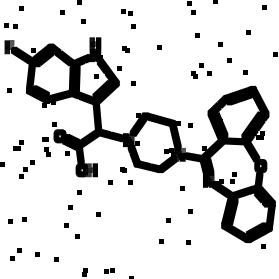 O=C(O)C(c1c[nH]c2cc(F)ccc12)N1CCN(C2=Nc3ccccc3Oc3ccccc32)CC1